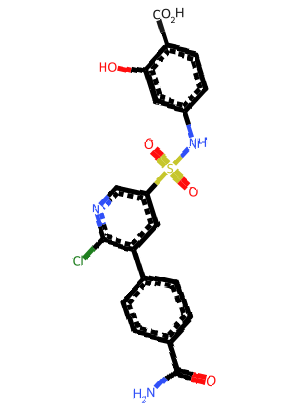 NC(=O)c1ccc(-c2cc(S(=O)(=O)Nc3ccc(C(=O)O)c(O)c3)cnc2Cl)cc1